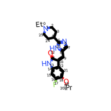 CCN1CCC(c2ncc(/C=C3\C(=O)Nc4cc(F)c(OC(C)C)cc43)[nH]2)CC1